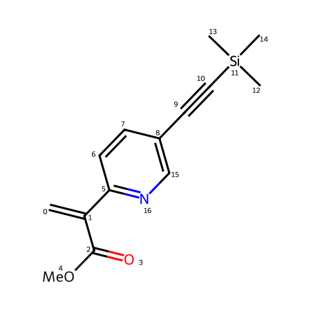 C=C(C(=O)OC)c1ccc(C#C[Si](C)(C)C)cn1